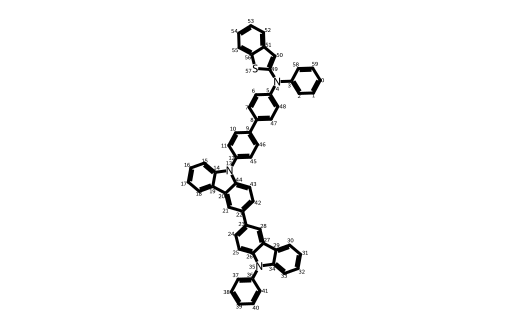 c1ccc(N(c2ccc(-c3ccc(-n4c5ccccc5c5cc(-c6ccc7c(c6)c6ccccc6n7-c6ccccc6)ccc54)cc3)cc2)c2cc3ccccc3s2)cc1